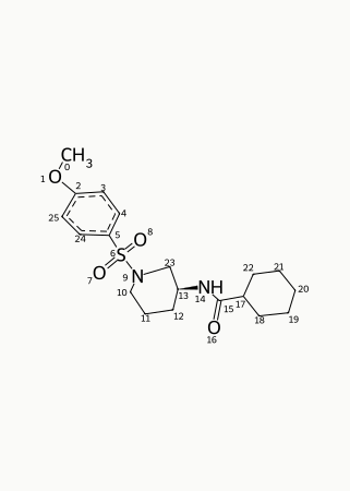 COc1ccc(S(=O)(=O)N2CCC[C@H](NC(=O)C3CCCCC3)C2)cc1